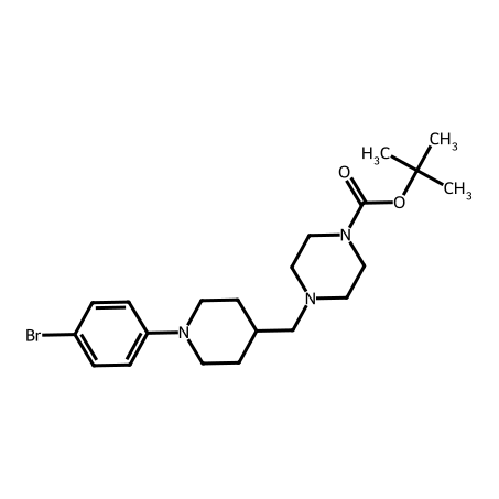 CC(C)(C)OC(=O)N1CCN(CC2CCN(c3ccc(Br)cc3)CC2)CC1